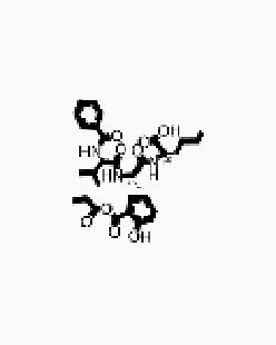 CCC(=O)OC(=O)c1ccccc1O.CCCC[C@H](NC(=O)[C@H](C)NC(=O)[C@@H](NC(=O)c1ccccc1)C(C)C)C(=O)O